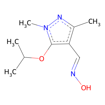 Cc1nn(C)c(OC(C)C)c1C=NO